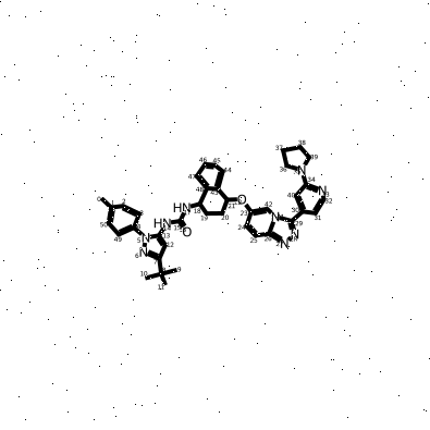 Cc1ccc(-n2nc(C(C)(C)C)cc2NC(=O)NC2CCC(Oc3ccc4nnc(-c5ccnc(N6CCCC6)c5)n4c3)c3ccccc32)cc1